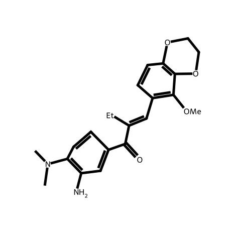 CC/C(=C\c1ccc2c(c1OC)OCCO2)C(=O)c1ccc(N(C)C)c(N)c1